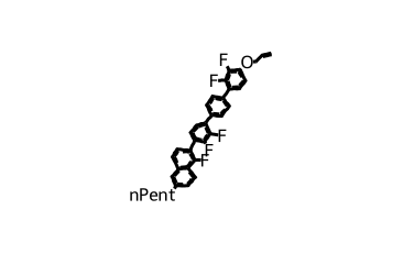 C=CCOc1ccc(-c2ccc(-c3ccc(-c4ccc5cc(CCCCC)ccc5c4F)c(F)c3F)cc2)c(F)c1F